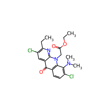 CCOC(=O)Cn1c2nc(CC)c(Cl)cc2c(=O)c2ccc(Cl)c(N(C)C)c21